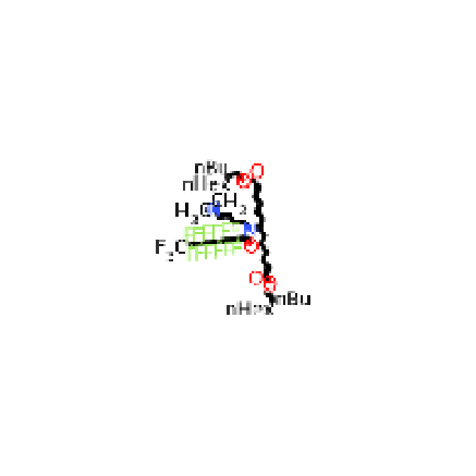 CCCCCCC(CCCC)COC(=O)CCCCCC(CCCCCC(=O)OCC(CCCC)CCCCCC)N(CCCCN(C)C)C(=O)C(F)(F)C(F)(F)C(F)(F)C(F)(F)C(F)(F)C(F)(F)C(F)(F)F